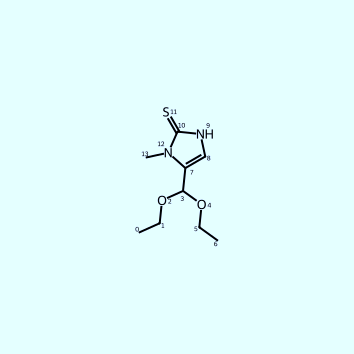 CCOC(OCC)c1c[nH]c(=S)n1C